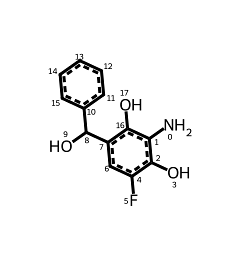 Nc1c(O)c(F)cc(C(O)c2ccccc2)c1O